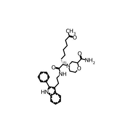 CC(=O)CCCCC[C@@H](C(=O)NCCc1c(-c2ccccc2)[nH]c2ccccc12)N1CCOC(C(N)=O)C1